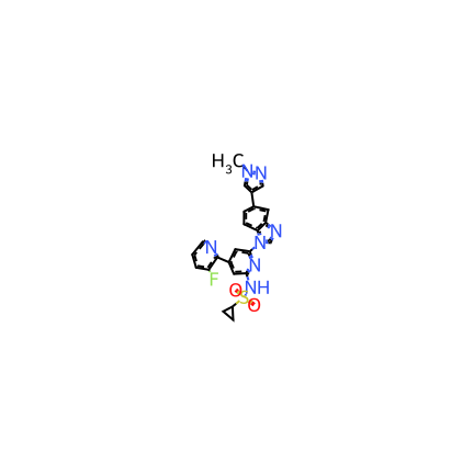 Cn1cc(-c2ccc3c(c2)ncn3-c2cc(-c3ncccc3F)cc(NS(=O)(=O)C3CC3)n2)cn1